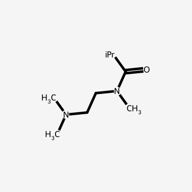 CC(C)C(=O)N(C)CCN(C)C